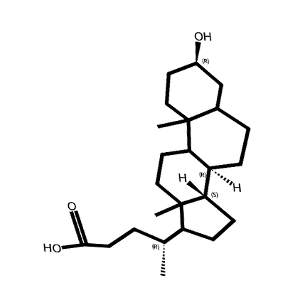 C[C@H](CCC(=O)O)C1CC[C@H]2[C@@H]3CCC4C[C@H](O)CCC4(C)C3CCC12C